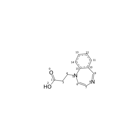 O=C(O)CCN1C=CN=Cc2ccccc21